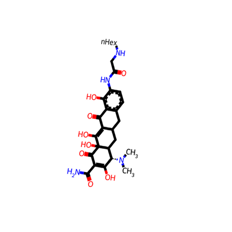 CCCCCCNCC(=O)Nc1ccc2c(c1O)C(=O)C1=C(O)C3(O)C(=O)C(C(N)=O)=C(O)[C@@H](N(C)C)C3CC1C2